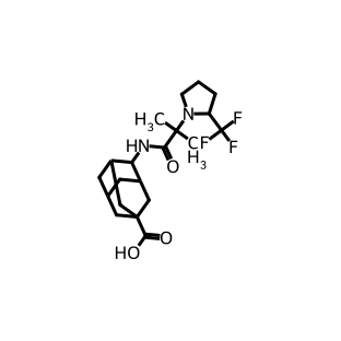 CC(C)(C(=O)NC1C2CC3CC1CC(C(=O)O)(C3)C2)N1CCCC1C(F)(F)F